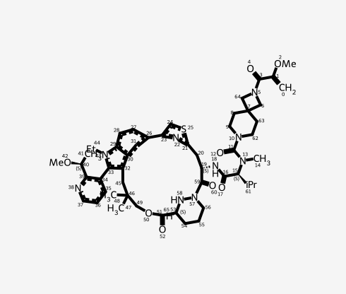 C=C(OC)C(=O)N1CC2(CCN(C(=O)N(C)[C@H](C(=O)N[C@H]3Cc4nc(cs4)-c4ccc5c(c4)c(c(-c4cccnc4[C@H](C)OC)n5CC)CC(C)(C)COC(=O)[C@@H]4CCCN(N4)C3=O)C(C)C)CC2)C1